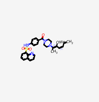 C=C/C=C\C(OC)=C(/C)N1CCN(C(=O)c2ccc(NS(=O)(=O)c3cccc4cccnc34)cc2)CC1